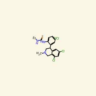 CCNC(=S)Nc1ccccc1C1CN(C)Cc2c(Cl)cc(Cl)cc21.Cl